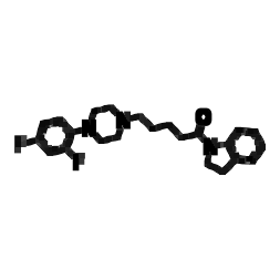 O=C(CCCCN1CCN(c2ccc(F)cc2F)CC1)N1CCc2ccccc21